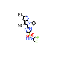 CCc1cnc2c(c1)c(C#N)c(-c1ncc(S(=O)(=O)NC(CF)CF)cn1)n2C1CCC1